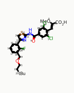 CO/C(=C\c1c(Cl)cc(C(=O)Nc2nc(-c3cccc(COCCC(C)(C)C)c3F)cs2)cc1Cl)C(=O)O